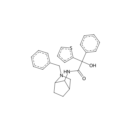 O=C(NC1C2CCC1N(Cc1ccccc1)C2)C(O)(c1ccccc1)c1cccs1